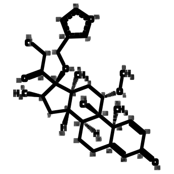 CO[C@H]1C[C@@]2(C)[C@@H](C[C@@H](C)[C@]2(OCc2ccoc2)C(=O)CCl)[C@@H]2CCC3=CC(=O)C=C[C@]3(C)[C@@]12Cl